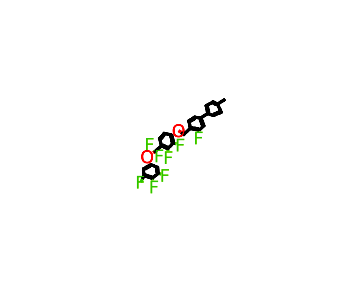 Cc1ccc(-c2ccc(COc3ccc(C(F)(F)Oc4cc(F)c(F)c(F)c4)c(F)c3F)c(F)c2)cc1